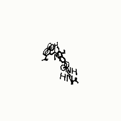 C=C(C)C(=C)NCCNC(=O)Oc1ccc2nc(/C(C)=C/C3=C(C(=C)C)COC(=O)C3(O)CC)c(CC)c(CC)c2c1